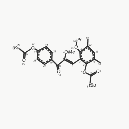 COC(=Cc1c(OC(=O)C(C)(C)C)c(C)cc(C)c1OC(C)C)C(=O)c1ccc(OC(=O)C(C)(C)C)cc1